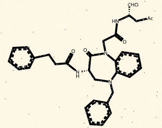 CC(=O)C[C@@H](C=O)NC(=O)CN1C(=O)[C@@H](NC(=O)CCc2ccccc2)CN(Cc2ccccc2)c2ccccc21